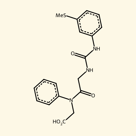 CSc1cccc(NC(=O)NCC(=O)N(CC(=O)O)c2ccccc2)c1